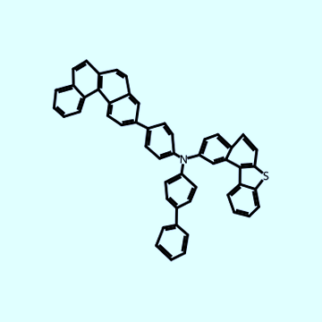 c1ccc(-c2ccc(N(c3ccc(-c4ccc5c(ccc6ccc7ccccc7c65)c4)cc3)c3ccc4ccc5sc6ccccc6c5c4c3)cc2)cc1